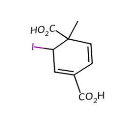 CC1(C(=O)O)C=CC(C(=O)O)=CC1I